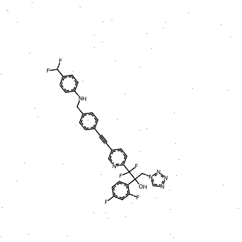 OC(Cn1cnnn1)(c1ccc(F)cc1F)C(F)(F)c1ccc(C#Cc2ccc(CNc3ccc(C(F)F)cc3)cc2)cn1